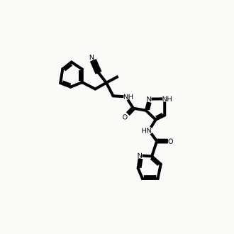 CC(C#N)(CNC(=O)c1n[nH]cc1NC(=O)c1ccccn1)Cc1ccccc1